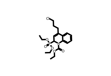 CCOC(=O)N1c2ccccc2C(CCCCl)=CC1P(=O)(OCC)OCC